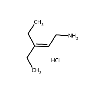 CCC(=CCN)CC.Cl